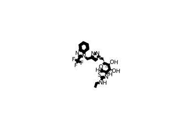 CCNC1=N[C@@H]2[C@@H](O)[C@H](O)[C@@H](Cn3cc(Cn4c(C(F)(F)F)nc5ccccc54)nn3)O[C@@H]2S1